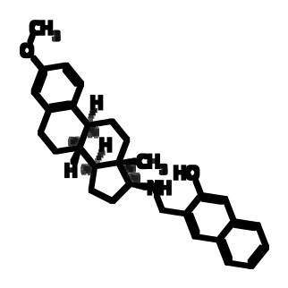 COc1ccc2c(c1)CC[C@@H]1[C@@H]2CC[C@]2(C)[C@@H](NCc3cc4ccccc4cc3O)CC[C@@H]12